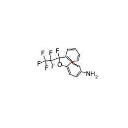 Nc1ccc(OC(F)(c2ccccc2)C(F)(F)C(F)(F)F)cc1